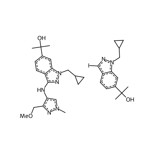 CC(C)(O)c1ccc2c(I)nn(CC3CC3)c2c1.COCc1nn(C)cc1Nc1nn(CC2CC2)c2cc(C(C)(C)O)ccc12